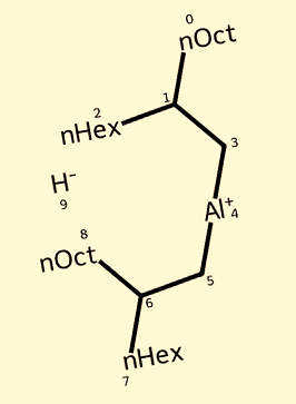 CCCCCCCCC(CCCCCC)[CH2][Al+][CH2]C(CCCCCC)CCCCCCCC.[H-]